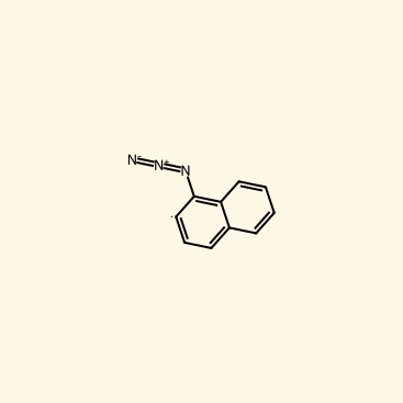 [N-]=[N+]=Nc1[c]ccc2ccccc12